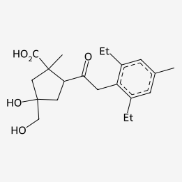 CCc1cc(C)cc(CC)c1CC(=O)C1CC(O)(CO)CC1(C)C(=O)O